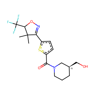 CC1(C)C(c2ccc(C(=O)N3CCC[C@H](CO)C3)s2)=NOC1C(F)(F)F